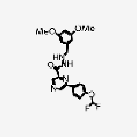 COc1cc(CNNC(=O)c2cncc(-c3ccc(OC(F)F)cc3)n2)cc(OC)c1